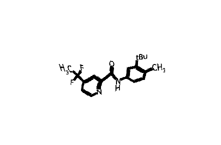 Cc1ccc(NC(=O)c2cc(C(C)(F)F)ccn2)cc1C(C)(C)C